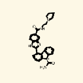 NC(=O)[C@@H]1c2ccccc2-c2c(-c3nc4cc(C(=O)NCCN5CCCC5)ccc4[nH]3)cccc21